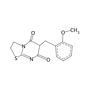 COc1ccccc1CC1C(=O)N=C2SCCN2C1=O